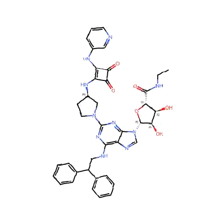 CCNC(=O)[C@H]1O[C@@H](n2cnc3c(NCC(c4ccccc4)c4ccccc4)nc(N4CC[C@@H](Nc5c(Nc6cccnc6)c(=O)c5=O)C4)nc32)[C@H](O)[C@@H]1O